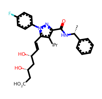 CC(C)c1c(C(=O)N[C@H](C)c2ccccc2)nn(-c2ccc(F)cc2)c1/C=C/[C@@H](O)C[C@@H](O)CC(=O)O